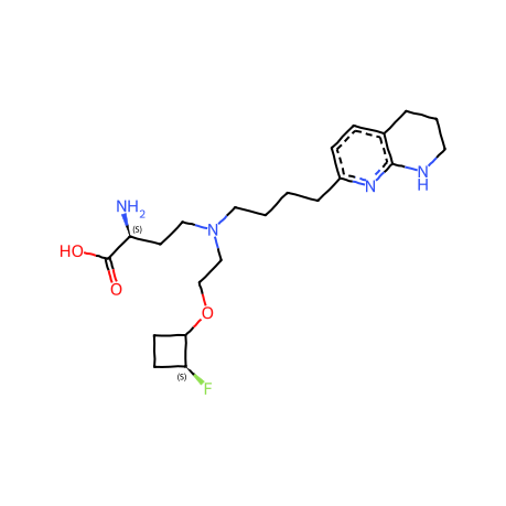 N[C@@H](CCN(CCCCc1ccc2c(n1)NCCC2)CCOC1CC[C@@H]1F)C(=O)O